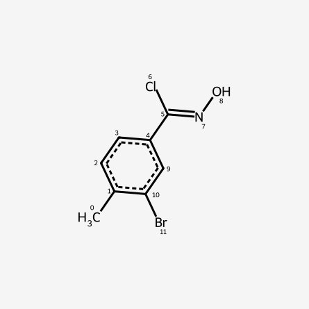 Cc1ccc(C(Cl)=NO)cc1Br